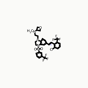 CN(CCN1CCN(S(=O)(=O)c2cccc(C(F)(F)F)c2)c2cc(/C=C/c3c(Cl)cccc3C(F)(F)F)ccc21)C1COC1